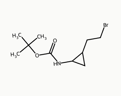 CC(C)(C)OC(=O)NC1CC1CCBr